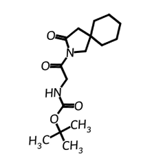 CC(C)(C)OC(=O)NCC(=O)N1CC2(CCCCC2)CC1=O